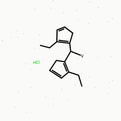 CCC1=C([CH]([V])C2=C(CC)C=CC2)CC=C1.Cl